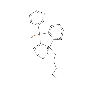 CCCCCCc1ccccc1C([S])(c1ccccc1)c1ccccc1